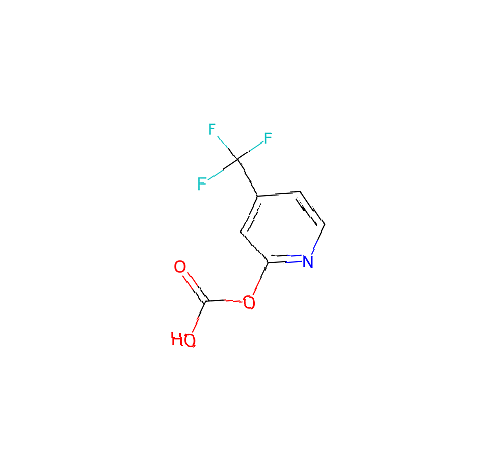 O=C(O)Oc1cc(C(F)(F)F)ccn1